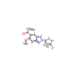 COC(=O)c1cc2cn(C34CCC(C)(C3)OC4)nc2cc1OC(C)C